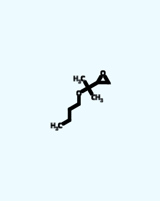 CCCCOC(C)(C)C1CO1